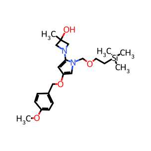 COc1ccc(COc2cc(N3CC(C)(O)C3)n(COCC[Si](C)(C)C)c2)cc1